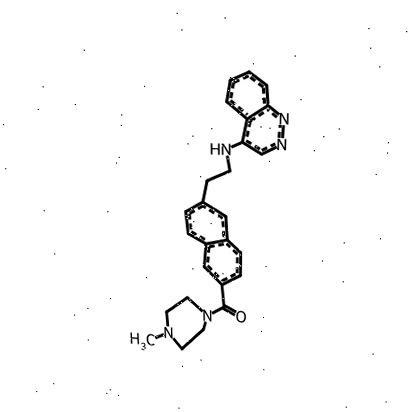 CN1CCN(C(=O)c2ccc3cc(CCNc4cnnc5ccccc45)ccc3c2)CC1